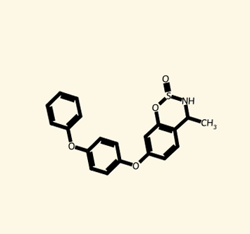 CC1NS(=O)Oc2cc(Oc3ccc(Oc4ccccc4)cc3)ccc21